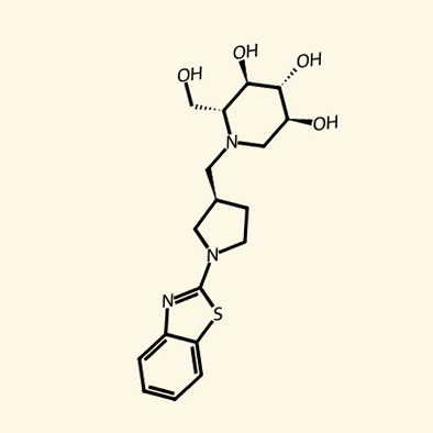 OC[C@@H]1[C@@H](O)[C@H](O)[C@@H](O)CN1C[C@H]1CCN(c2nc3ccccc3s2)C1